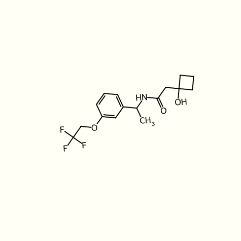 CC(NC(=O)CC1(O)CCC1)c1cccc(OCC(F)(F)F)c1